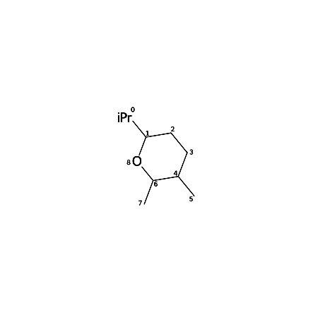 CC(C)C1CCC(C)C(C)O1